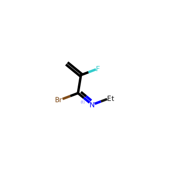 C=C(F)/C(Br)=N\CC